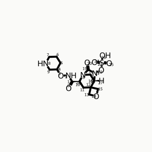 O=C(NOC1CCCNC1)[C@@H]1CC2(COC2)[C@@H]2CN1C(=O)N2OS(=O)(=O)O